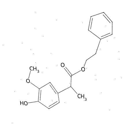 COc1cc(C(C)C(=O)OCCc2ccccc2)ccc1O